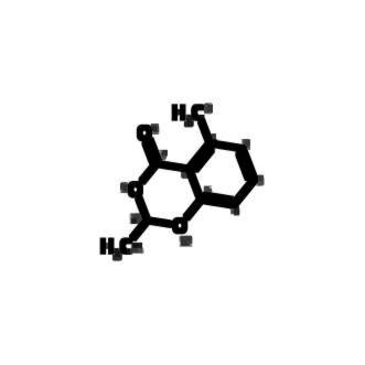 Cc1cccc2c1C(=O)OC(C)O2